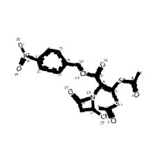 CC(=O)SC(SC(C)=O)=C(C(=O)OCc1ccc([N+](=O)[O-])cc1)N1C(=O)CC1Cl